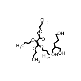 CCCOOC(=O)C(OCCC)=C(OCCC)OCCC.OCCCC(CO)CO